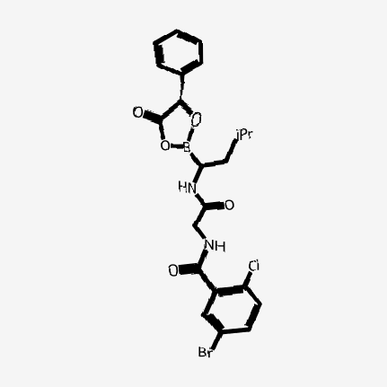 CC(C)CC(NC(=O)CNC(=O)c1cc(Br)ccc1Cl)B1OC(=O)[C@@H](c2ccccc2)O1